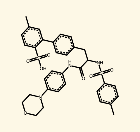 Cc1ccc(S(=O)(=O)NC(Cc2ccc(-c3cc(C)ccc3S(=O)(=O)O)cc2)C(=O)Nc2ccc(N3CCOCC3)cc2)cc1